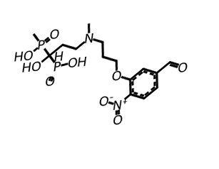 CN(CCCOc1cc(C=O)ccc1[N+](=O)[O-])CCC(O)([PH](=O)O)P(C)(=O)O